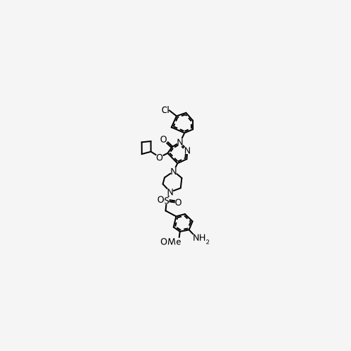 COc1cc(CS(=O)(=O)N2CCN(c3cnn(-c4cccc(Cl)c4)c(=O)c3OC3CCC3)CC2)ccc1N